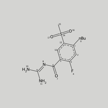 CCCCc1cc(F)c(C(=O)N=C(N)N)cc1S(C)(=O)=O